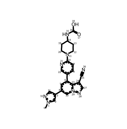 Cn1cc(-c2cc(-c3ccc(N4CCC(NC(=O)O)CC4)nc3)c3c(C#N)cnn3c2)cn1